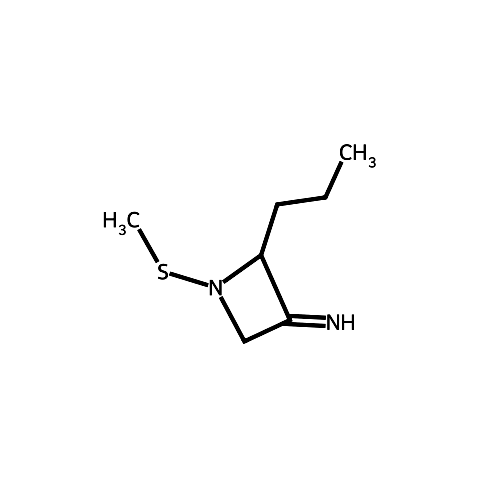 CCCC1C(=N)CN1SC